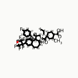 C[C@@H]1C[C@@](CCI)(C(=O)N2CC[C@]3(S(=O)(=O)c4ccc(F)cc4)c4ccc(C(F)(C(F)(F)F)C(F)(F)F)cc4CCC[C@H]23)CC[C@H]1C(=O)O